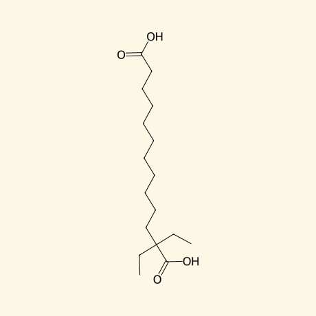 CCC(CC)(CCCCCCCCCCC(=O)O)C(=O)O